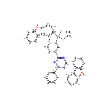 CCC1(CC)c2cc(-c3nc(-c4ccccc4)nc(-c4cccc5oc6ccccc6c45)n3)ccc2-c2c1ccc1oc3ccccc3c21